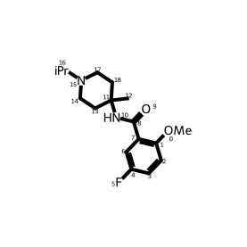 COc1ccc(F)cc1C(=O)NC1(C)CCN(C(C)C)CC1